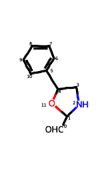 O=CC1NCC(c2ccccc2)O1